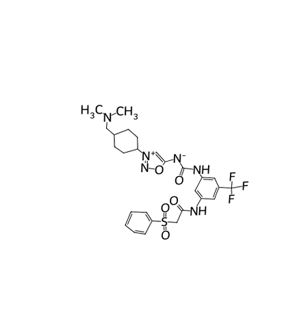 CN(C)CC1CCC([n+]2cc([N-]C(=O)Nc3cc(NC(=O)CS(=O)(=O)c4ccccc4)cc(C(F)(F)F)c3)on2)CC1